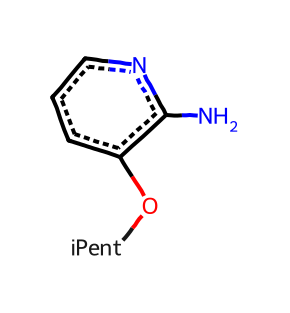 CCCC(C)Oc1cccnc1N